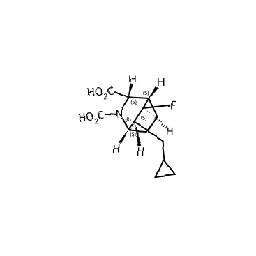 O=C(O)[C@@H]1[C@@H]2CC[C@@H]([C@@H](CC3CC3)[C@@H]2F)N1C(=O)O